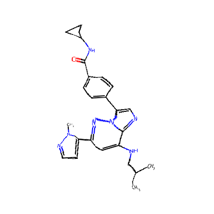 CC(C)CNc1cc(-c2ccnn2C)nn2c(-c3ccc(C(=O)NC4CC4)cc3)cnc12